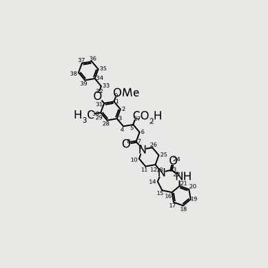 COc1cc(CC(CC(=O)N2CCC(N3CCc4ccccc4NC3=O)CC2)C(=O)O)cc(C)c1OCc1ccccc1